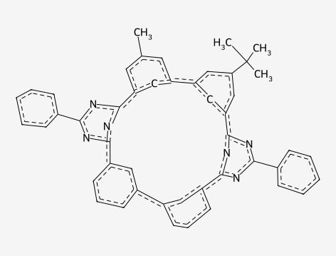 Cc1cc2cc(c1)c1nc(-c3ccccc3)nc(n1)c1cccc(c1)c1cccc(c1)c1nc(-c3ccccc3)nc(n1)c1cc(C(C)(C)C)cc2c1